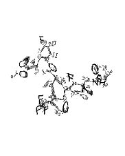 CCOC(=O)Cc1cc(F)ccc1OCc1cc(-c2ccnc(CN[S+]([O-])C(C)(C)C)c2F)c2occ(C(F)(F)F)c2c1